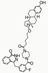 C[C@]12CC[C@@H]3c4ccc(O)cc4CC[C@H]3[C@@H]1CC[C@@H]2OCCCCC(=O)N1CCN(C(=O)c2cc(Cc3n[nH]c(=O)c4ccccc34)ccc2F)CC1